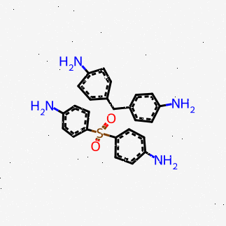 Nc1ccc(Cc2ccc(N)cc2)cc1.Nc1ccc(S(=O)(=O)c2ccc(N)cc2)cc1